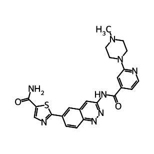 CN1CCN(c2cc(C(=O)Nc3cc4cc(-c5ncc(C(N)=O)s5)ccc4nn3)ccn2)CC1